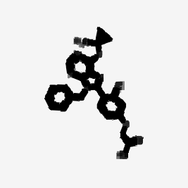 CC1(Oc2ncnc3c2nc(-c2ccc(OCC(=O)O)cc2Cl)n3Cc2ccccc2)CC1